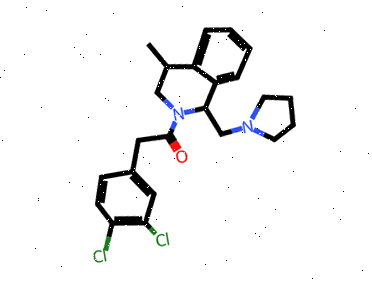 CC1CN(C(=O)Cc2ccc(Cl)c(Cl)c2)C(CN2CCCC2)c2ccccc21